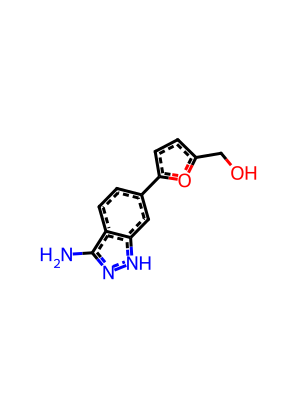 Nc1n[nH]c2cc(-c3ccc(CO)o3)ccc12